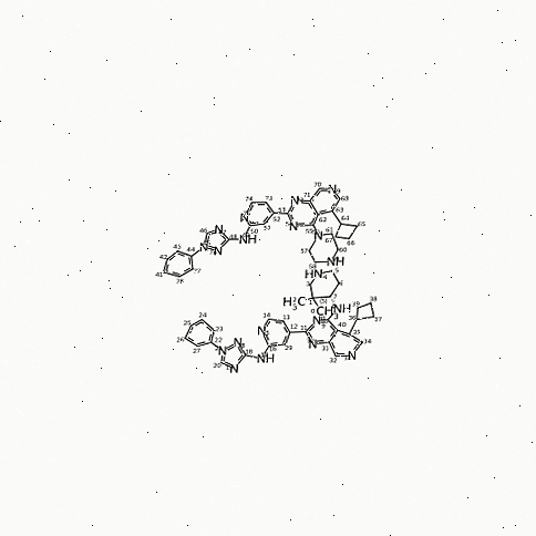 CC1(C)CNCC[C@@H]1Nc1nc(-c2ccnc(Nc3ncn(-c4ccccc4)n3)c2)nc2cncc(C3CCC3)c12.c1ccc(-n2cnc(Nc3cc(-c4nc(N5CCNCC5)c5c(C6CCC6)cncc5n4)ccn3)n2)cc1